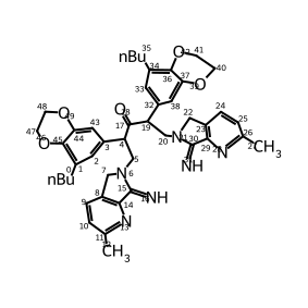 CCCCc1cc(C(CN2Cc3ccc(C)nc3C2=N)C(=O)C(CN2Cc3ccc(C)nc3C2=N)c2cc(CCCC)c3c(c2)OCCO3)cc2c1OCCO2